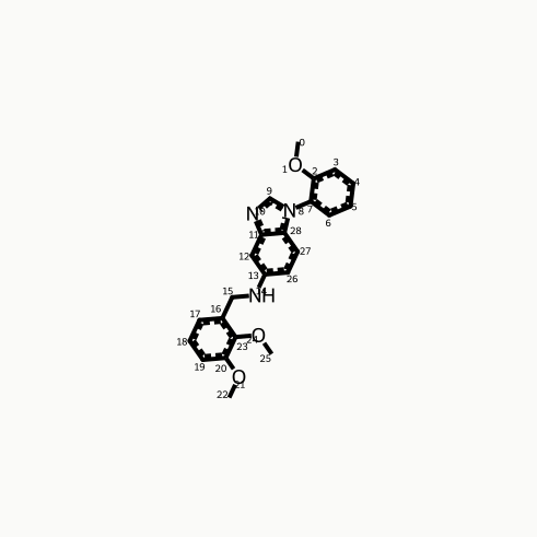 COc1ccccc1-n1cnc2cc(NCc3cccc(OC)c3OC)ccc21